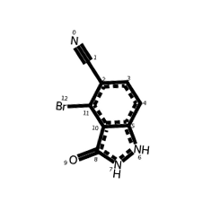 N#Cc1ccc2[nH][nH]c(=O)c2c1Br